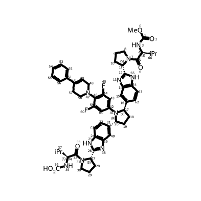 COC(=O)N[C@H](C(=O)N1CCC[C@H]1c1nc2cc([C@H]3CC[C@H](c4ccc5[nH]c([C@@H]6CCCN6C(=O)[C@@H](NC(=O)O)C(C)C)nc5c4)N3c3cc(F)c(N4CC=C(c5ccccc5)CC4)c(F)c3)ccc2[nH]1)C(C)C